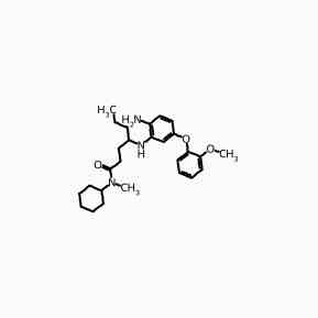 CCCC(CCC(=O)N(C)C1CCCCC1)Nc1cc(Oc2ccccc2OC)ccc1N